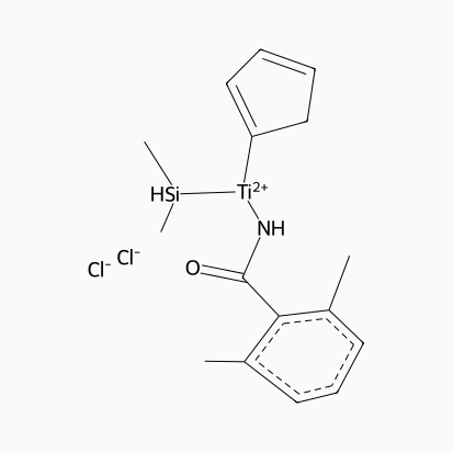 Cc1cccc(C)c1C(=O)[NH][Ti+2]([C]1=CC=CC1)[SiH](C)C.[Cl-].[Cl-]